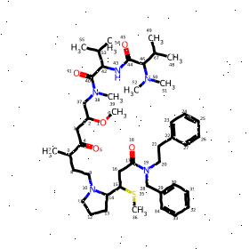 COC(CC(=O)C(C)CCN1CCCC1C(CC(=O)N(CCc1ccccc1)Cc1ccccc1)SC)CN(C)C(=O)C(NC(=O)C(C(C)C)N(C)C)C(C)C